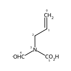 C=CCN([C]=O)C(=O)O